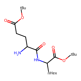 CCCCCCC(NC(=O)C(N)CCC(=O)OC(C)(C)C)C(=O)OC(C)(C)C